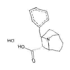 Cl.O=C(O)[C@@H]1CCC2CCC1N2Cc1ccccc1